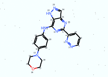 c1cnnc(-c2nc(Nc3ccc(N4CCOCC4)cc3)c3[nH]ncc3n2)c1